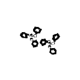 c1ccc(OP(Oc2ccccc2)Oc2ccccc2)cc1.c1ccc(OP(Oc2ccccc2)Oc2ccccc2)cc1